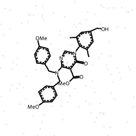 COC(=O)c1c(N(Cc2ccc(OC)cc2)Cc2ccc(OC)cc2)ncn(-c2c(C)cc(CO)cc2C)c1=O